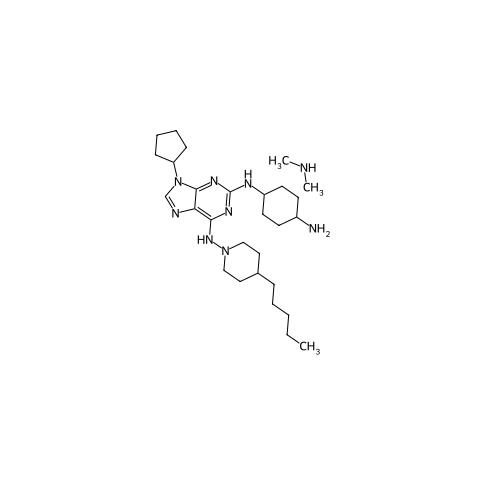 CCCCCC1CCN(Nc2nc(NC3CCC(N)CC3)nc3c2ncn3C2CCCC2)CC1.CNC